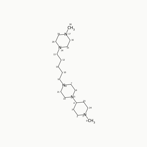 CN1CCC(N2CCN(CCCCCN3CCN(C)CC3)CC2)CC1